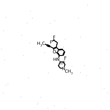 CC#Cc1oc2c(N[C@H]3CCN(C)C[C@H]3F)cccc2c1CC(F)F